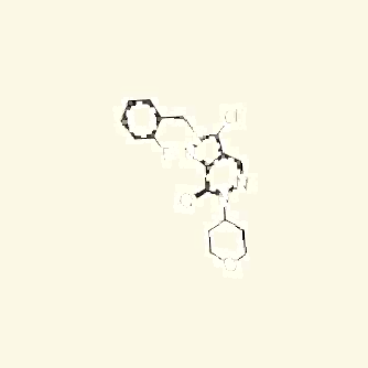 O=c1c2nn(Cc3ccccc3F)c(Cl)c2cnn1C1CCOCC1